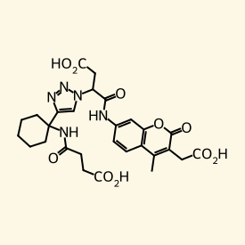 Cc1c(CC(=O)O)c(=O)oc2cc(NC(=O)C(CC(=O)O)n3cc(C4(NC(=O)CCC(=O)O)CCCCC4)nn3)ccc12